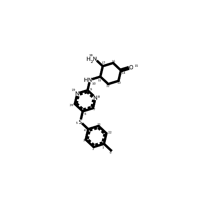 Cc1ccc(Sc2cnc(NC3CCC(=O)CC3N)nc2)cc1